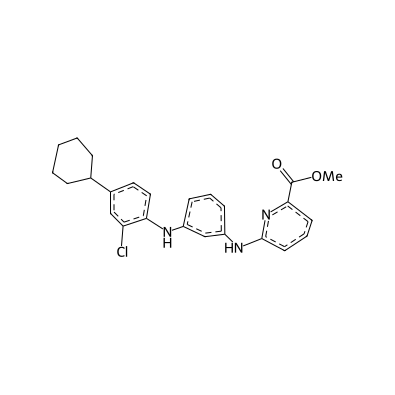 COC(=O)c1cccc(Nc2cccc(Nc3ccc(C4CCCCC4)cc3Cl)c2)n1